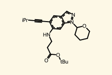 CC(C)C#Cc1cc2cnn(C3CCCCO3)c2cc1NCCC(=O)OC(C)(C)C